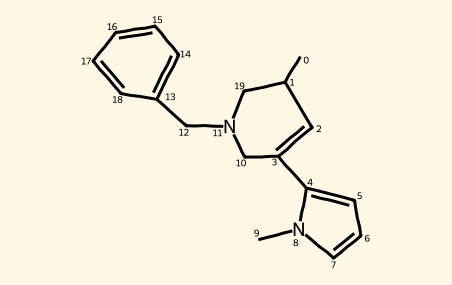 CC1C=C(c2cccn2C)CN(Cc2ccccc2)C1